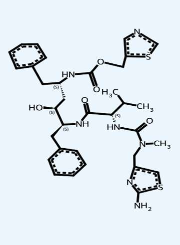 CC(C)[C@H](NC(=O)N(C)Cc1csc(N)n1)C(=O)N[C@@H](Cc1ccccc1)[C@@H](O)C[C@H](Cc1ccccc1)NC(=O)OCc1cncs1